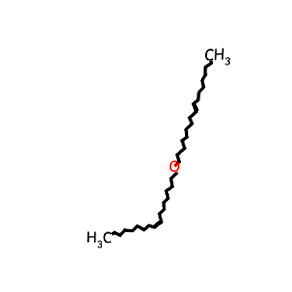 CCCCCCCCC=CCCCCCCCCOCCCCCCCC/C=C\CCCCCCCC